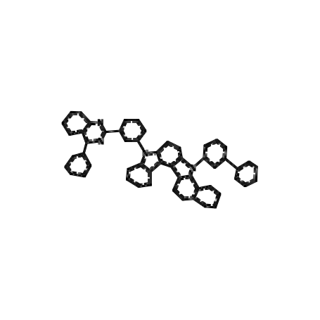 c1ccc(-c2cccc(-n3c4ccc5c(c6ccccc6n5-c5cccc(-c6nc(-c7ccccc7)c7ccccc7n6)c5)c4c4ccc5ccccc5c43)c2)cc1